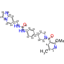 COc1ncc(C)cc1C(=O)N1CCC(c2ccc(NC(=O)NCc3ccn4ccnc4c3)cc2)CC1